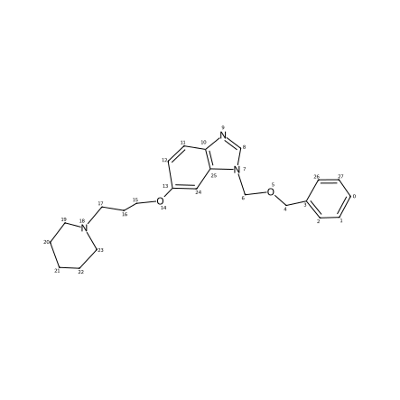 c1ccc(COCn2cnc3ccc(OCCCN4CCCCC4)cc32)cc1